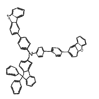 c1ccc(C2(c3ccccc3)c3ccccc3-c3cc(N(c4ccc(-c5ccc(-c6ccc7oc8ccccc8c7c6)cc5)cc4)c4ccc(-c5ccc6sc7ccccc7c6c5)cc4)ccc32)cc1